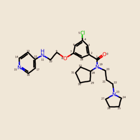 O=C(c1cc(Cl)cc(OCCNc2ccncc2)c1)N(CCCN1CCCC1)C1CCCC1